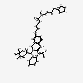 CC(=O)N(C1=Nc2ccc(OCCCC(=O)N(C)CCCCC3CCCC3)cc2CN1CC(=O)OC(C)C(C)(C)C)C1CCCCC1